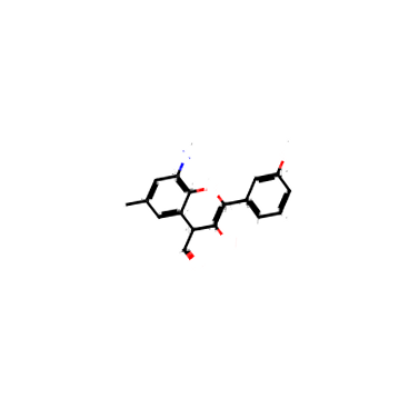 Cc1cc(N)c2c(c1)C(C=O)C(O)=C(c1cccc(O)c1)O2